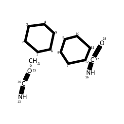 C.C1CCCCC1.C1CCCCC1.N=C=O.N=C=O